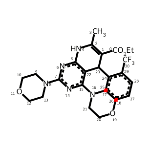 CCOC(=O)C1=C(C)Nc2nc(N3CCOCC3)nc(N3CCOCC3)c2C1c1ccccc1C(F)(F)F